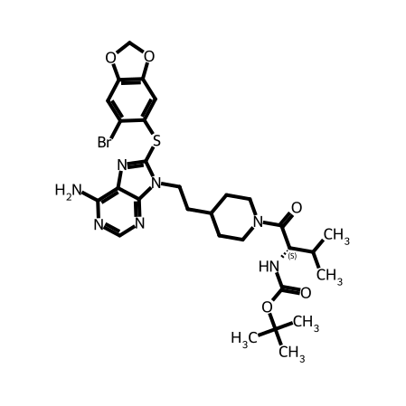 CC(C)[C@H](NC(=O)OC(C)(C)C)C(=O)N1CCC(CCn2c(Sc3cc4c(cc3Br)OCO4)nc3c(N)ncnc32)CC1